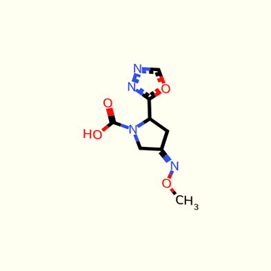 CON=C1CC(c2nnco2)N(C(=O)O)C1